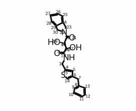 O=C(NCc1cc(Cc2ccccc2)cs1)[C@H](O)[C@@H](O)C(=O)N1Cc2ccccc2C1